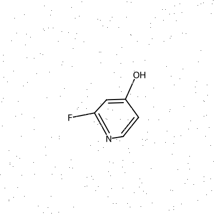 Oc1ccnc(F)c1